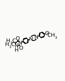 COc1ccc(N2CCN(c3ccc(N4C(=O)NC(C)(C)C4=O)cc3)CC2)cc1